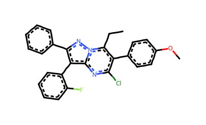 CCc1c(-c2ccc(OC)cc2)c(Cl)nc2c(-c3ccccc3F)c(-c3ccccc3)nn12